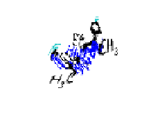 CCc1c(Nc2cc(-n3nc(C)c(CN4CC(F)C4)c3C)ncn2)nn(C)c1-c1ccc(F)cc1